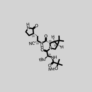 COC(C)(C)C(=O)N[C@H](C(=O)N1C[C@H]2[C@@H]([C@H]1C(=O)N[C@H](C#N)C[C@@H]1CCNC1=O)C2(C)C)C(C)(C)C